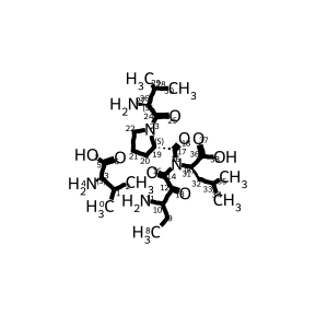 CC(C)[C@H](N)C(=O)O.CCC(N)C(=O)C(=O)N(C(=O)[C@@H]1CCCN1C(=O)[C@@H](N)C(C)C)[C@H](CC(C)C)C(=O)O